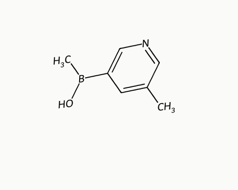 CB(O)c1cncc(C)c1